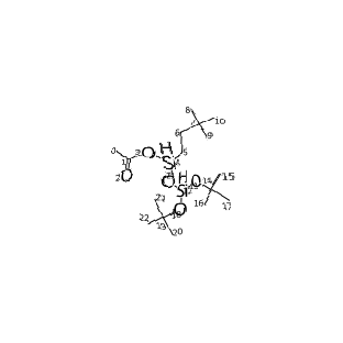 CC(=O)O[SiH](CCC(C)(C)C)O[SiH](OC(C)(C)C)OC(C)(C)C